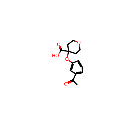 CC(=O)c1cccc(OC2(C(=O)O)CCOCC2)c1